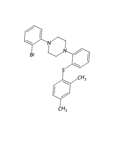 Cc1ccc(Sc2ccccc2N2CCN(c3ccccc3Br)CC2)c(C)c1